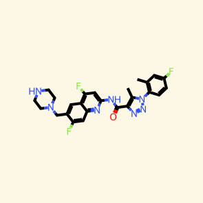 Cc1cc(F)ccc1-n1nnc(C(=O)Nc2cc(F)c3cc(CN4CCNCC4)c(F)cc3n2)c1C